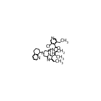 C=CC(C)C1NC(CN(CCCNC(=O)c2c(Cl)cncc2CC)C2CCCc3cccnc32)=N/C1=C/C